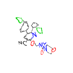 N#Cc1cc(-c2ccc(Cl)cc2)c(-c2ccccc2Cl)nc1OCCNC(=O)N1CCOCC1